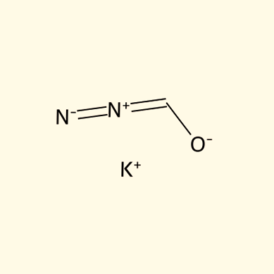 [K+].[N-]=[N+]=C[O-]